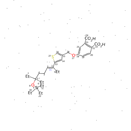 CC/C(=C\CCC(CC)(CC)O[Si](CC)(CC)CC)c1cc(COc2ccc(C(=O)O)c(C(=O)O)c2)cs1